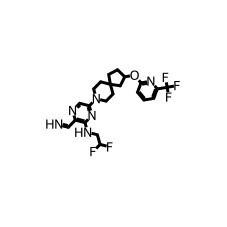 N=Cc1ncc(N2CCC3(CCC(Oc4cccc(C(F)(F)F)n4)C3)CC2)nc1NCC(F)F